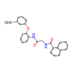 O=Cc1cccc(Oc2ccccc2NC(=O)CNC(=O)c2cccc3ccccc23)c1